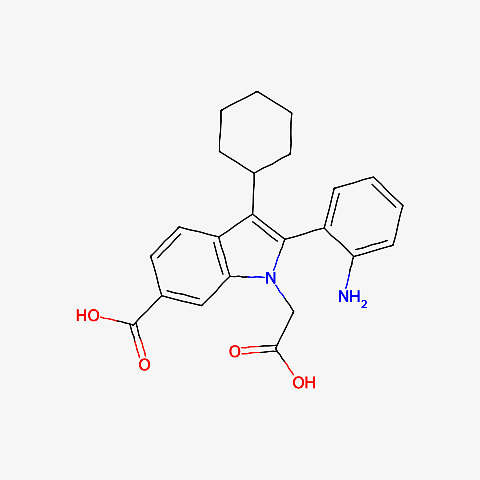 Nc1ccccc1-c1c(C2CCCCC2)c2ccc(C(=O)O)cc2n1CC(=O)O